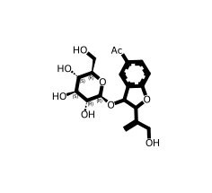 C=C(CO)C1Oc2ccc(C(C)=O)cc2C1O[C@@H]1O[C@H](CO)[C@@H](O)[C@H](O)[C@H]1O